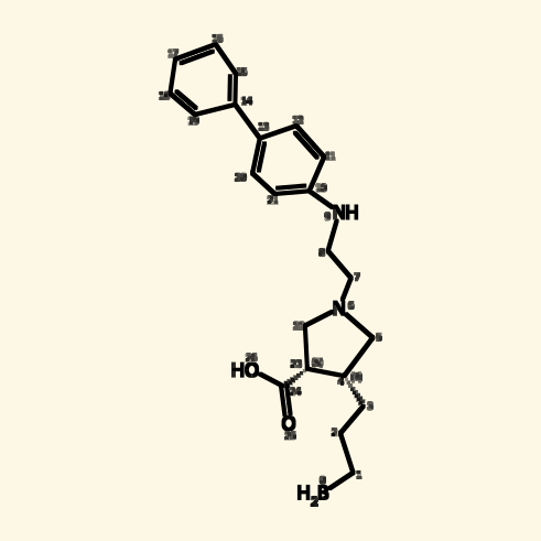 BCCC[C@H]1CN(CCNc2ccc(-c3ccccc3)cc2)C[C@H]1C(=O)O